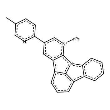 CCC[n+]1cc(-c2ccc(C)cn2)cc2c3cccc4c5ccccc5n(c43)c21